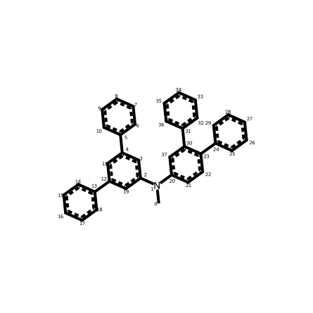 CN(c1cc(-c2ccccc2)cc(-c2ccccc2)c1)c1ccc(-c2ccccc2)c(-c2ccccc2)c1